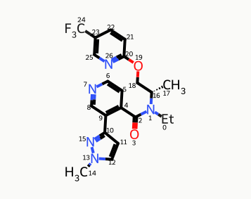 CCN(C(=O)c1ccncc1-c1ccn(C)n1)[C@@H](C)COc1ccc(C(F)(F)F)cn1